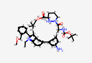 CCn1c(-c2ccccc2COC)c2c3cc(ccc31)-c1cc(N)cc(c1)C[C@H](NC(=O)OC(C)(C)C)C(=O)N1CCC[C@H](N1)C(=O)OCC(C)(C)C2